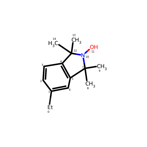 CCc1ccc2c(c1)C(C)(C)N(O)C2(C)C